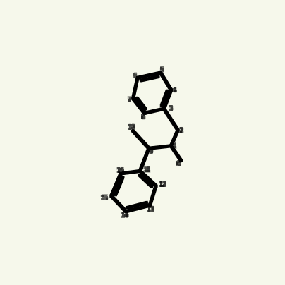 CC(Cc1ccccc1)C(C)c1ccccc1